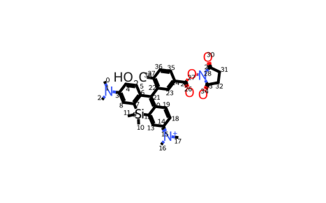 CN(C)c1ccc2c(c1)[Si](C)(C)C1=CC(=[N+](C)C)C=CC1=C2c1cc(C(=O)ON2C(=O)CCC2=O)ccc1C(=O)O